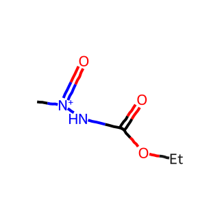 CCOC(=O)N[N+](C)=O